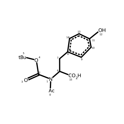 CC(=O)N(C(=O)OC(C)(C)C)C(Cc1ccc(O)cc1)C(=O)O